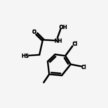 Cc1ccc(Cl)c(Cl)c1.O=C(CS)NO